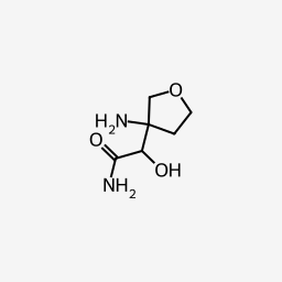 NC(=O)C(O)C1(N)CCOC1